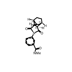 CNC(=O)c1cccc(N2C(=O)[C@@H]3[C@H]4CC[C@H](C(=O)C4)[C@@H]3C2=O)c1